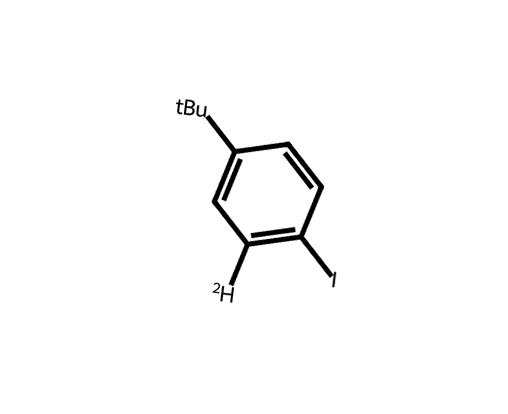 [2H]c1cc(C(C)(C)C)ccc1I